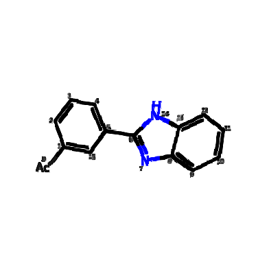 CC(=O)c1cccc(-c2nc3ccccc3[nH]2)c1